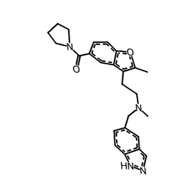 Cc1oc2ccc(C(=O)N3CCCC3)cc2c1CCN(C)Cc1ccc2[nH]ncc2c1